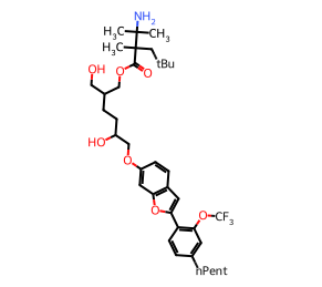 CCCCCc1ccc(-c2cc3ccc(OCC(O)CCC(CO)COC(=O)C(C)(CC(C)(C)C)C(C)(C)N)cc3o2)c(OC(F)(F)F)c1